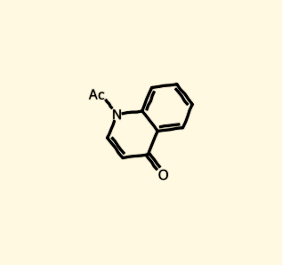 CC(=O)n1ccc(=O)c2ccccc21